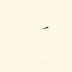 CC1=C2CCC3(C(=O)O)CCCC=C3[C@@]2(C)CCC1=O